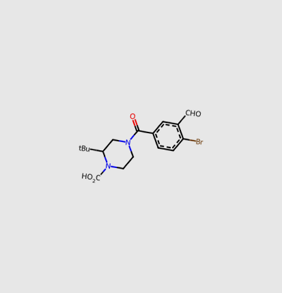 CC(C)(C)C1CN(C(=O)c2ccc(Br)c(C=O)c2)CCN1C(=O)O